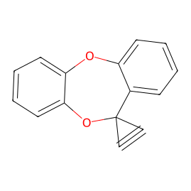 C1#CC12Oc1ccccc1Oc1ccccc12